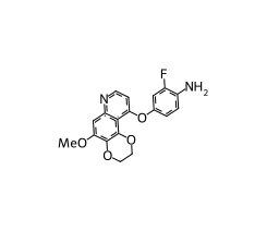 COc1cc2nccc(Oc3ccc(N)c(F)c3)c2c2c1OCCO2